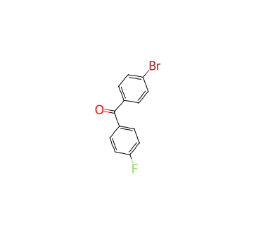 O=C(c1ccc(F)cc1)c1ccc(Br)cc1